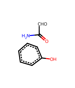 NC(=O)C=O.Oc1ccccc1